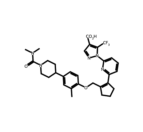 Cc1cc(C2CCN(C(=O)N(C)C)CC2)ccc1OCC1=C(c2cccc(-n3ncc(C(=O)O)c3C(F)(F)F)n2)CCC1